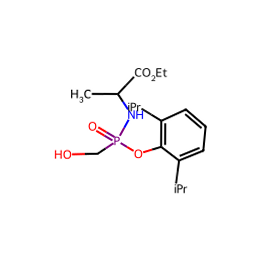 CCOC(=O)C(C)NP(=O)(CO)Oc1c(C(C)C)cccc1C(C)C